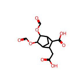 O=COC1C2CC(C1OC=O)C(C(=O)O)C2CC(=O)O